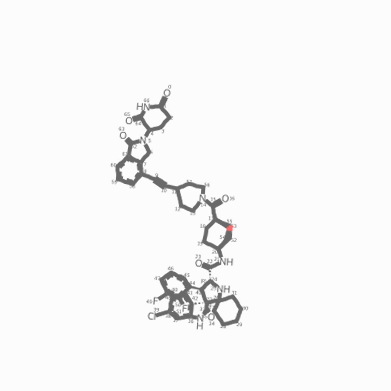 O=C1CCC(N2Cc3c(C#CC4CCN(C(=O)C56CCC(NC(=O)[C@@H]7NC8(CCCCC8)[C@@]8(C(=O)Nc9cc(Cl)ccc98)[C@H]7c7cccc(F)c7F)(CC5)CC6)CC4)cccc3C2=O)C(=O)N1